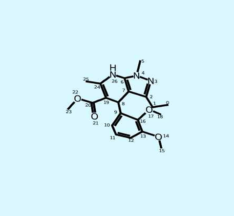 CCc1nn(C)c2c1C(c1cccc(OC)c1OC)C(C(=O)OC)=C(C)N2